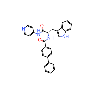 O=C(N[C@@H](Cc1c[nH]c2ccccc12)C(=O)Nc1ccncc1)c1ccc(-c2ccccc2)cc1